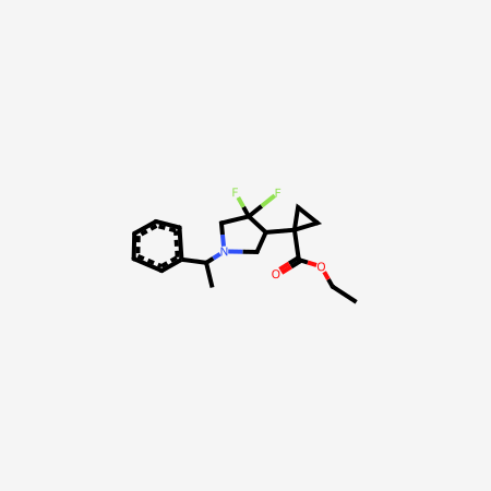 CCOC(=O)C1(C2CN(C(C)c3ccccc3)CC2(F)F)CC1